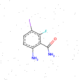 NC(=O)c1c(N)ccc(I)c1F